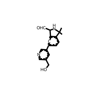 CC1(C)NC(C=O)c2cc(-c3cncc(CO)c3)ccc21